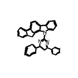 c1ccc(-c2cc(-c3ccccc3)nc(-n3c4ccccc4c4ccc5c(c43)Cc3ccccc3-5)n2)cc1